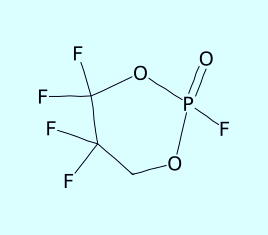 O=P1(F)OCC(F)(F)C(F)(F)O1